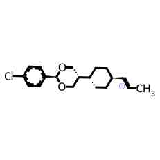 C/C=C/[C@H]1CC[C@H]([C@H]2CO[C@H](c3ccc(Cl)cc3)OC2)CC1